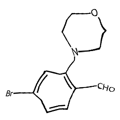 O=Cc1ccc(Br)cc1N1CCOCC1